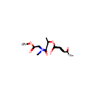 COC(=O)/C=C/C(=O)OC(C)C(=O)N(C)CC(=O)OC(C)C